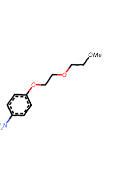 COCCOCCOc1ccc(N)cc1